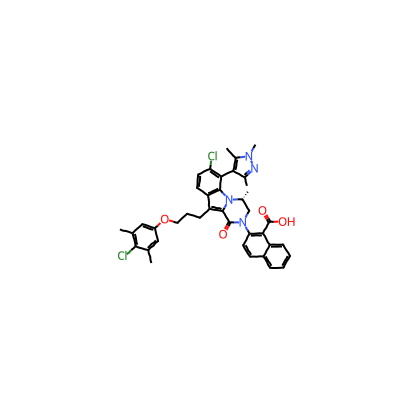 Cc1cc(OCCCc2c3n(c4c(-c5c(C)nn(C)c5C)c(Cl)ccc24)[C@H](C)CN(c2ccc4ccccc4c2C(=O)O)C3=O)cc(C)c1Cl